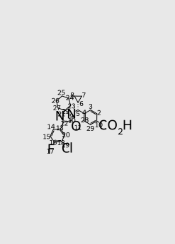 O=C(O)c1ccc([C@@H](C2CC2)N2C(=O)C(c3ccc(F)c(Cl)c3)=NC23CCCCC3)cc1